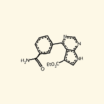 CCOC(=O)c1c[nH]c2ncnc(-c3cccc(C(N)=O)c3)c12